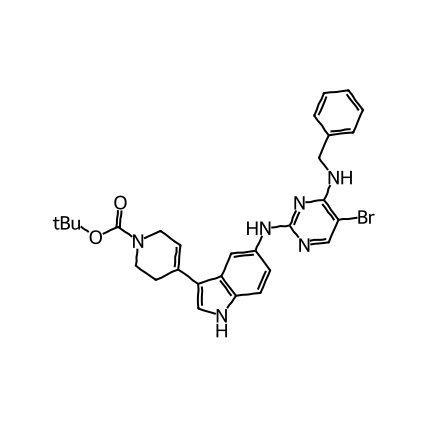 CC(C)(C)OC(=O)N1CC=C(c2c[nH]c3ccc(Nc4ncc(Br)c(NCc5ccccc5)n4)cc23)CC1